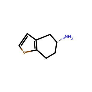 N[C@@H]1CCc2sccc2C1